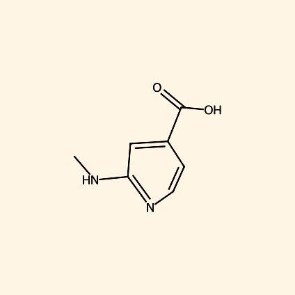 CNc1cc(C(=O)O)ccn1